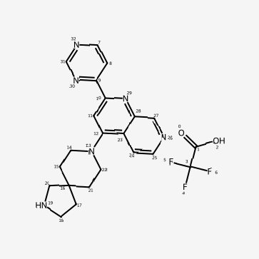 O=C(O)C(F)(F)F.c1cc(-c2cc(N3CCC4(CCNC4)CC3)c3ccncc3n2)ncn1